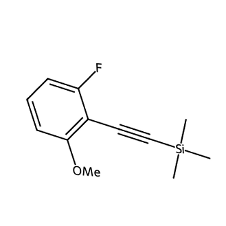 COc1cccc(F)c1C#C[Si](C)(C)C